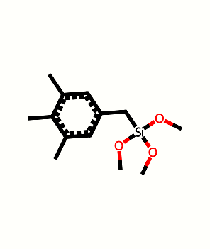 CO[Si](Cc1cc(C)c(C)c(C)c1)(OC)OC